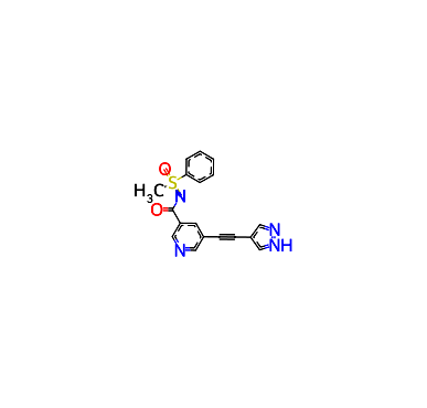 C[S@@](=O)(=NC(=O)c1cncc(C#Cc2cn[nH]c2)c1)c1ccccc1